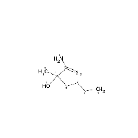 CCCCC(C)(O)C(N)=S